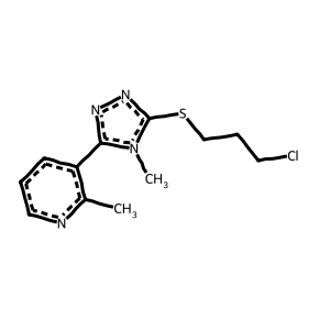 Cc1ncccc1-c1nnc(SCCCCl)n1C